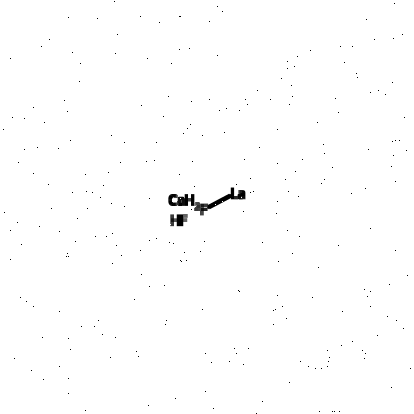 F.[CaH2].[F][La]